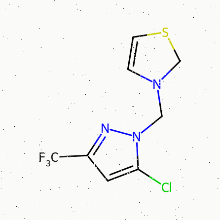 FC(F)(F)c1cc(Cl)n(CN2C=CSC2)n1